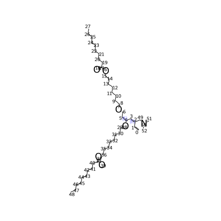 C=C/C(=C\C(=C/COCCCCCCCCOC(=O)CCCCCCCCC)OCCCCCCCCOC(=O)CCCCCCCCC)CN(C)C